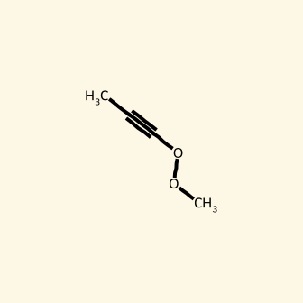 CC#COOC